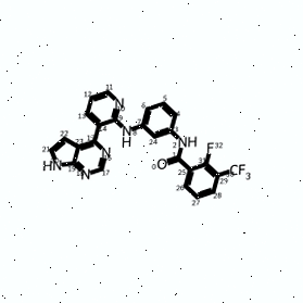 O=C(Nc1cccc(Nc2ncccc2-c2ncnc3[nH]ccc23)c1)c1cccc(C(F)(F)F)c1F